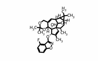 CC1=C[C@]23C(O)[C@@H](C=C4COC(C)(C)O[C@H]4[C@]2(O)[C@H]1Oc1noc2cccc(F)c12)[C@H]1[C@@H](C[C@H]3C)C1(C)C